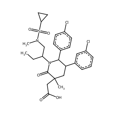 CCC(CN(C)S(=O)(=O)C1CC1)N1C(=O)C(C)(CC(=O)O)CC(c2cccc(Cl)c2)C1c1ccc(Cl)cc1